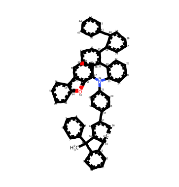 CC1(c2ccccc2)c2ccccc2-c2ccc(-c3ccc(N(c4ccccc4-c4ccccc4-c4ccccc4-c4ccccc4)c4cccc5c4oc4ccccc45)cc3)cc21